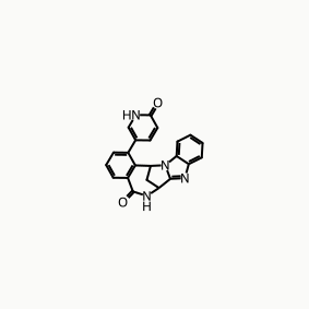 O=C1NC2CC(c3c1cccc3-c1ccc(=O)[nH]c1)n1c2nc2ccccc21